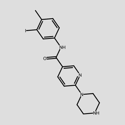 Cc1ccc(NC(=O)c2ccc(N3CCNCC3)nc2)cc1I